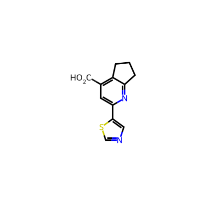 O=C(O)c1cc(-c2cncs2)nc2c1CCC2